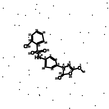 COc1nn(-c2ccc(NS(=O)(=O)c3ccccc3Cl)cc2)c(=O)o1